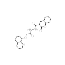 O=C(COc1cccc2cccnc12)NNC(=O)c1cc2ccccc2oc1=O